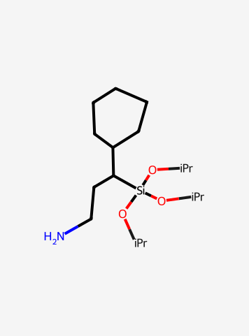 CC(C)O[Si](OC(C)C)(OC(C)C)C(CCN)C1CCCCC1